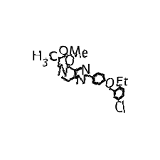 CCc1ccc(Cl)cc1COc1ccc(-c2ncc3c(n2)CCN(CC(C)C(=O)OC)C3)cc1